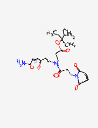 CC(C)(C)OC(=O)CCN(CCC(=O)/C=C\C(N)=O)C(=O)CCN1C(=O)C=CC1=O